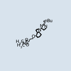 CCCCSc1nccc(-n2ccc3c(OCCCS(=O)(=O)N(C)C)cccc32)n1